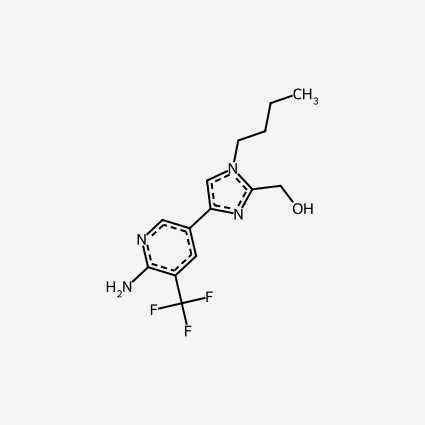 CCCCn1cc(-c2cnc(N)c(C(F)(F)F)c2)nc1CO